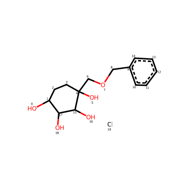 OC1CCC(O)(COCc2ccccc2)C(O)C1O.[C]